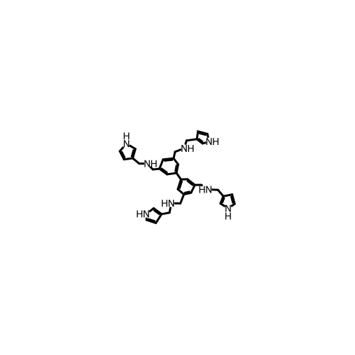 c1cc(CNCc2cc(CNCc3cc[nH]c3)cc(-c3cc(CNCc4cc[nH]c4)cc(CNCc4cc[nH]c4)c3)c2)c[nH]1